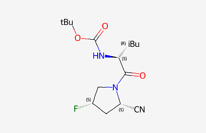 CC[C@@H](C)[C@H](NC(=O)OC(C)(C)C)C(=O)N1C[C@@H](F)C[C@H]1C#N